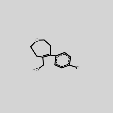 OCC1=C(c2ccc(Cl)cc2)CCOCC1